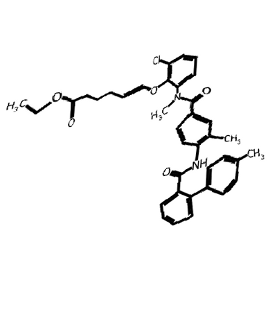 CCOC(=O)CCCC=COc1c(Cl)cccc1N(C)C(=O)c1ccc(NC(=O)c2ccccc2-c2ccc(C)cc2)c(C)c1